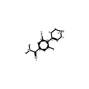 Cc1cc(C(=O)N(C)C)cc(F)c1C1=CCNCC1